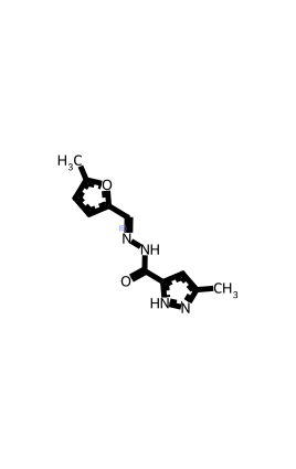 Cc1cc(C(=O)N/N=C/c2ccc(C)o2)[nH]n1